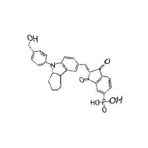 O=C1C(=Cc2ccc3c(c2)C2CCCC2N3c2ccc(CO)cc2)C(=O)c2cc(P(=O)(O)O)ccc21